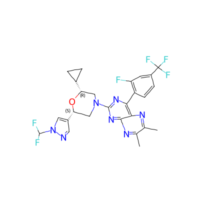 Cc1nc2nc(N3C[C@@H](C4CC4)O[C@@H](c4cnn(C(F)F)c4)C3)nc(-c3ccc(C(F)(F)F)cc3F)c2nc1C